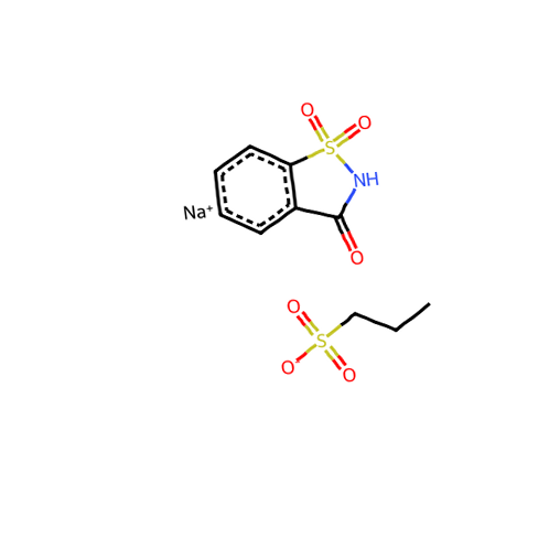 CCCS(=O)(=O)[O-].O=C1NS(=O)(=O)c2ccccc21.[Na+]